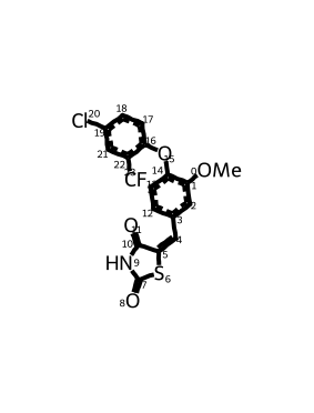 COc1cc(C=C2SC(=O)NC2=O)ccc1Oc1ccc(Cl)cc1C(F)(F)F